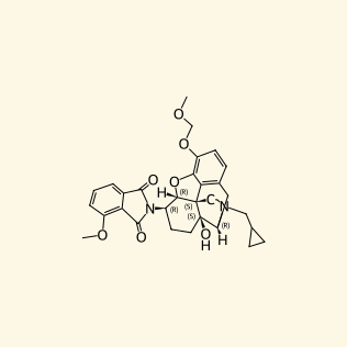 COCOc1ccc2c3c1O[C@H]1[C@H](N4C(=O)c5cccc(OC)c5C4=O)CC[C@@]4(O)[C@@H](C2)N(CC2CC2)CC[C@]314